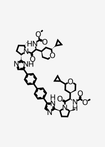 COC(=O)N[C@H](C(=O)N1[C@@H](C)CC[C@H]1c1ncc(-c2ccc(-c3ccc(-c4cnc([C@@H]5CC[C@H](C)N5C(=O)[C@@H](NC(=O)OC)[C@@H]5CCO[C@@H](C6CC6)C5)[nH]4)cc3)cc2)[nH]1)[C@@H]1CCOC(C2CC2)C1